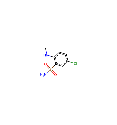 CNc1ccc(Cl)cc1S(N)(=O)=O